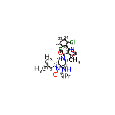 CC(C)=CCN1C(=O)C(C(C)C)NC12CCN(C(=O)c1c(-c3c(F)cccc3Cl)noc1C)CC2